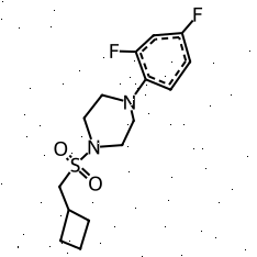 O=S(=O)(CC1CCC1)N1CCN(c2ccc(F)cc2F)CC1